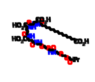 CC(C)C(=O)COCCOCCNC(=O)COCCOCCNC(=O)CC[C@H](NC(=O)CC[C@H](NC(=O)CC[C@H](NC(=O)CCCCCCCCCCCCCCCCC(=O)O)C(=O)O)C(=O)O)C(=O)O